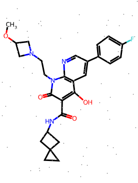 COC1CN(CCn2c(=O)c(C(=O)NC3CC4(CC4)C3)c(O)c3cc(-c4ccc(F)cc4)cnc32)C1